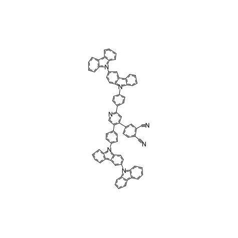 N#Cc1ccc(-c2cc(-c3ccc(-n4c5ccccc5c5cc(-n6c7ccccc7c7ccccc76)ccc54)cc3)ncc2-c2ccc(-n3c4ccccc4c4cc(-n5c6ccccc6c6ccccc65)ccc43)cc2)cc1C#N